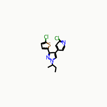 CCC(C)n1cc(-c2ccnc(Cl)c2)c(-c2ccc(Cl)s2)n1